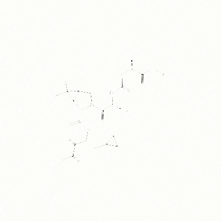 CC(C)OC(=O)[C@@H](NC(=O)N[C@H](C(=O)N1C[C@H]2[C@@H]([C@H]1C(=O)NC(CC1CC1)C(=O)C(N)=O)C2(Cl)Cl)C(C)(C)C)C(C)(C)C